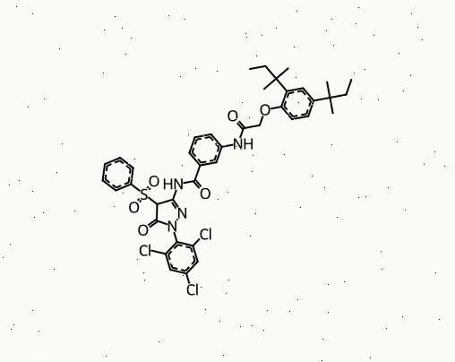 CCC(C)(C)c1ccc(OCC(=O)Nc2cccc(C(=O)NC3=NN(c4c(Cl)cc(Cl)cc4Cl)C(=O)C3S(=O)(=O)c3ccccc3)c2)c(C(C)(C)CC)c1